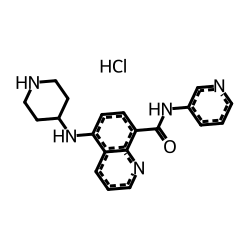 Cl.O=C(Nc1cccnc1)c1ccc(NC2CCNCC2)c2cccnc12